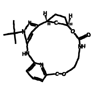 CC(C)(C)n1nc2cc1Nc1cccc(n1)COCCNC(=O)O[C@@H]1CC[C@H]2C1